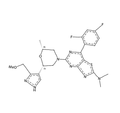 COCc1n[nH]cc1[C@H]1CN(c2nc(-c3ccc(F)cc3F)c3sc(N(C)C)nc3n2)C[C@@H](C)O1